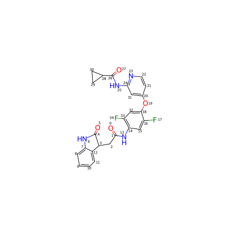 O=C(CC1C(=O)Nc2ccccc21)Nc1cc(F)c(Oc2ccnc(NC(=O)C3CC3)c2)cc1F